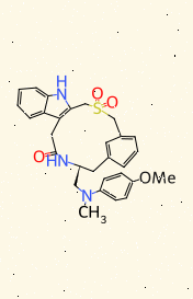 COc1ccc(N(C)C[C@@H]2Cc3cccc(c3)CS(=O)(=O)Cc3[nH]c4ccccc4c3CC(=O)N2)cc1